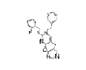 O=c1nc(SCc2ccccc2F)n(CCc2ccccc2)cc1Cc1cncnc1